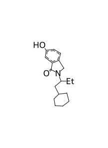 CCC(CC1CCCCC1)N1Cc2ccc(O)cc2C1=O